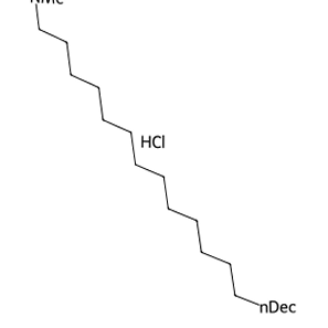 CCCCCCCCCCCCCCCCCCCCCCCNC.Cl